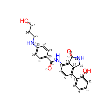 O=C(Nc1ccc(-c2ccccc2O)c2c1C(=O)NC2)c1ccc(NCCCO)cc1